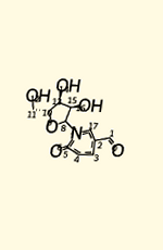 O=Cc1ccc(=O)n(C2O[C@H](CO)[C@@H](O)[C@H]2O)c1